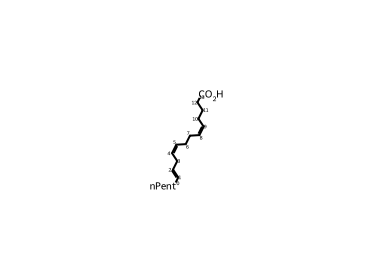 CCCCCC=CC/C=C\CC/C=C\CCCC(=O)O